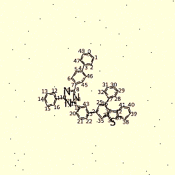 c1ccc(-c2ccc(-c3nc(-c4ccccc4)nc(-c4cccc(-c5cc(-c6ccccc6)c6c(c5)sc5ccccc56)c4)n3)cc2)cc1